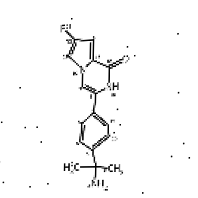 CC(C)(N)c1ccc(-c2cn3cc(F)cc3c(=O)[nH]2)cc1